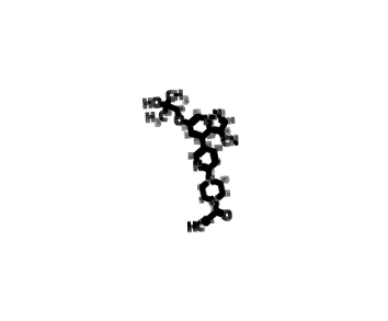 C#CC(=O)N1CCN(c2ccc(-c3cc(OCC(C)(C)O)cn4ncc(C#N)c34)cn2)CC1